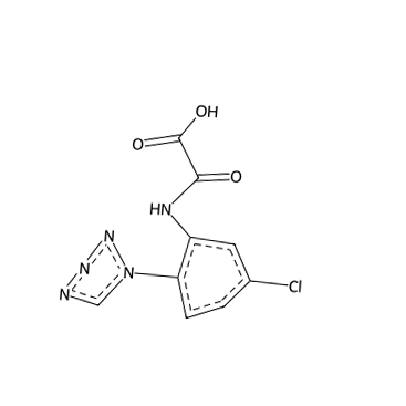 O=C(O)C(=O)Nc1cc(Cl)ccc1-n1cnnn1